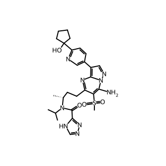 CC(C)N(C(=O)c1nnc[nH]1)[C@H](C)CCc1nc2c(-c3ccc(C4(O)CCCC4)nc3)cnn2c(N)c1S(C)(=O)=O